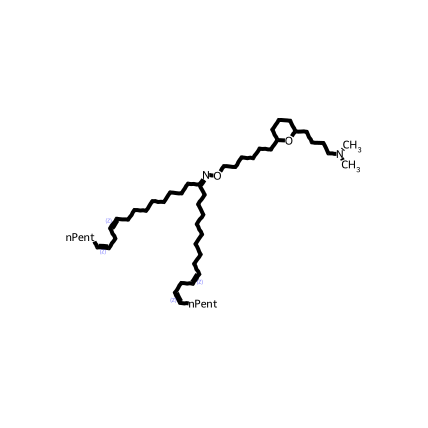 CCCCC/C=C\C/C=C\CCCCCCCCC(CCCCCCCC/C=C\C/C=C\CCCCC)=NOCCCCCCC1CCCC(CCCCN(C)C)O1